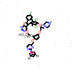 Cc1c(Cl)c2c(Cl)c(C)c1-c1c(-c3ccc(F)cc3)sc3ncnc(c13)O[C@@H](C(=O)O)Cc1cc(ccc1OCc1ccnc(N3C[C@H]4C[C@@H](C3)C4O)n1)OC[C@@H](CN1CCN(C)CC1)O2